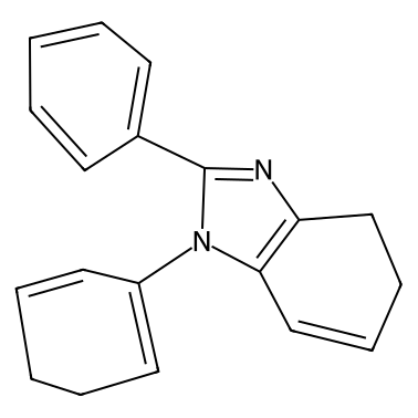 C1=CC(n2c(-c3ccccc3)nc3c2C=CCC3)=CCC1